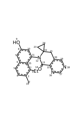 CCc1c(F)ccc2cc(O)cc(N3C(=O)c4ncncc4CC34CC4)c12